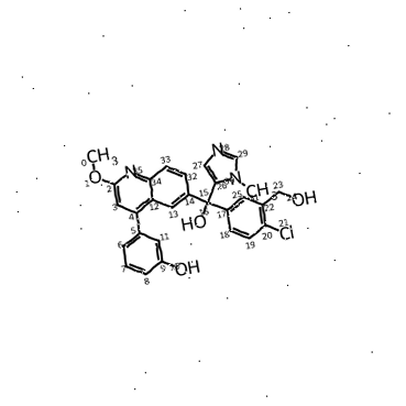 COc1cc(-c2cccc(O)c2)c2cc(C(O)(c3ccc(Cl)c(CO)c3)c3cncn3C)ccc2n1